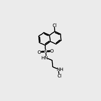 O=S(=O)(NCCNCl)c1cccc2c(Cl)cccc12